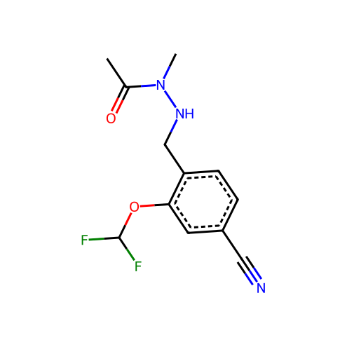 CC(=O)N(C)NCc1ccc(C#N)cc1OC(F)F